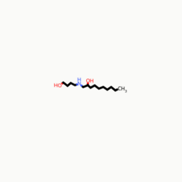 CCCCCCCCC(O)CNCCCCO